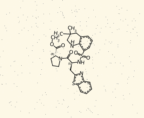 COC(=O)[C@H]1CCCN1C(=O)[C@H](Cc1nc2ccccc2s1)NS(=O)(=O)c1cccc2c1NCC(C)(C)C2